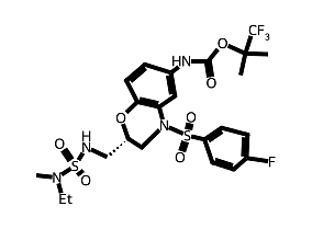 CCN(C)S(=O)(=O)NC[C@H]1CN(S(=O)(=O)c2ccc(F)cc2)c2cc(NC(=O)OC(C)(C)C(F)(F)F)ccc2O1